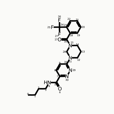 CCCCNC(=O)c1ccc(N2CCCN(C(=O)c3ccccc3C(F)(F)F)C2)nn1